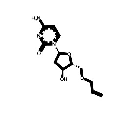 C=CCOC[C@H]1O[C@@H](n2ccc(N)nc2=O)C[C@@H]1O